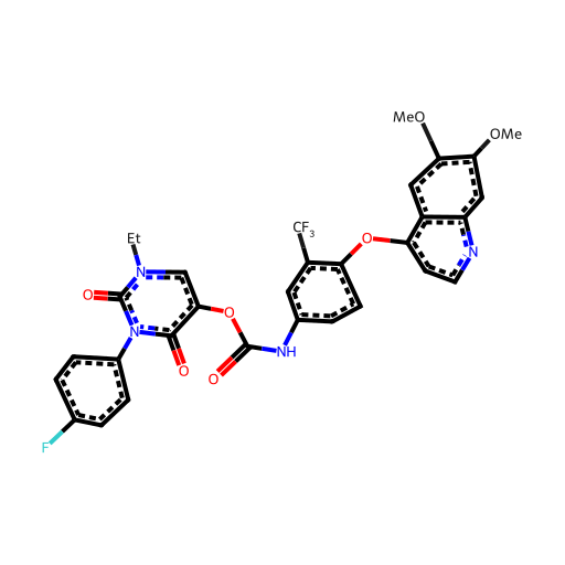 CCn1cc(OC(=O)Nc2ccc(Oc3ccnc4cc(OC)c(OC)cc34)c(C(F)(F)F)c2)c(=O)n(-c2ccc(F)cc2)c1=O